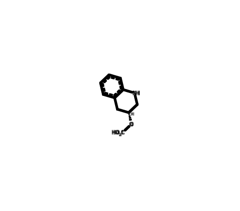 O=C(O)O[C@H]1CNc2ccccc2C1